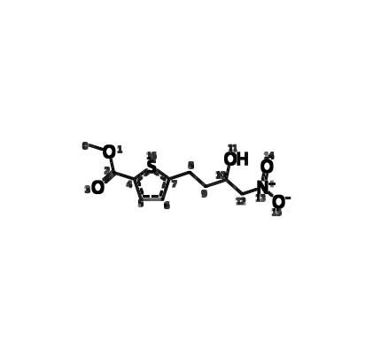 COC(=O)c1ccc(CCC(O)C[N+](=O)[O-])s1